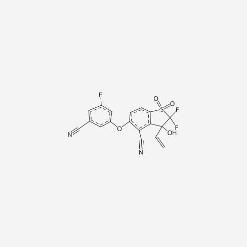 C=CC1(O)c2c(ccc(Oc3cc(F)cc(C#N)c3)c2C#N)S(=O)(=O)C1(F)F